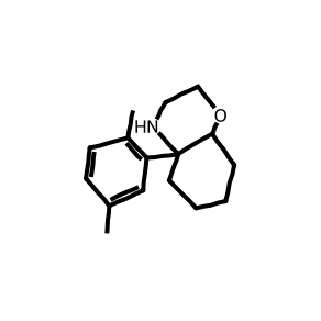 Cc1ccc(C)c(C23CCCCC2OCCN3)c1